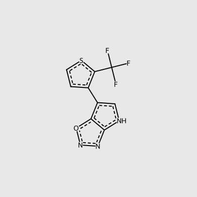 FC(F)(F)c1sccc1-c1c[nH]c2nnoc12